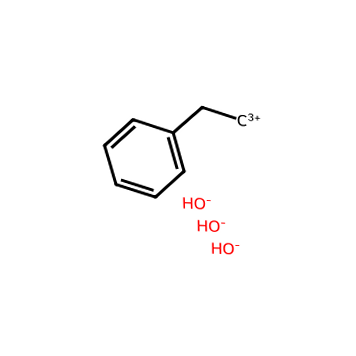 [C+3]Cc1ccccc1.[OH-].[OH-].[OH-]